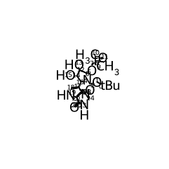 CC(C)(C)OC(=O)N1[C@H](OCP(C)(C)=O)[C@@H](O)[C@@H](O)[C@@H]1c1c[nH]c2c(=O)[nH]cnc12